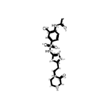 CC(=O)Nc1ccc(S(=O)(=O)Nc2nnc(CCN3CCOCC3=O)s2)cc1Cl